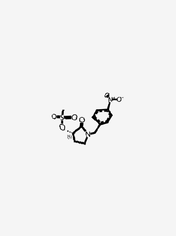 CS(=O)(=O)O[C@H]1CCN(Cc2ccc([N+](=O)[O-])cc2)C1=O